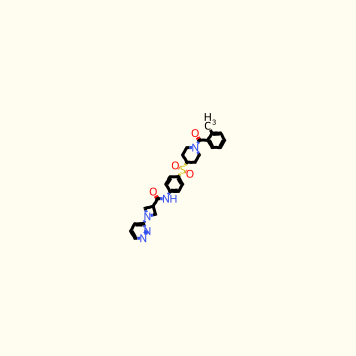 Cc1ccccc1C(=O)N1CCC(S(=O)(=O)c2ccc(NC(=O)C3CN(c4cccnn4)C3)cc2)CC1